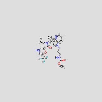 COC(=O)NCCCn1cc([C@@H](C)N(C(=O)[C@H]2CNC[C@@H](C(F)(F)F)O2)C2CC2)c2ncccc21